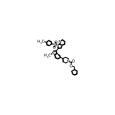 Cc1ccc(S(=O)(=O)n2c(-c3cn(C)c4ccc(C5=CCN(C(=O)OCc6ccccc6)CC5)cc34)cc3cccnc32)cc1